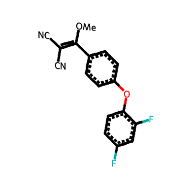 COC(=C(C#N)C#N)c1ccc(Oc2ccc(F)cc2F)cc1